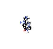 Cc1cc(-c2[nH]c3ccc(C(C)(C)C(=O)N(C)C4CCCNC4)cc3c2C(C)C)ccn1